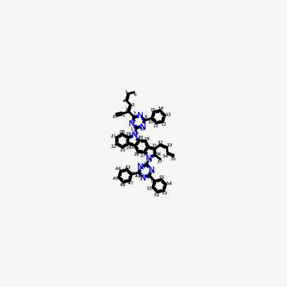 C#C/C(=C\C=C/C)c1nc(-c2ccccc2)nc(-n2c3ccccc3c3cc4c(cc32)c(/C=C\C=C)c(C)n4-c2nc(-c3ccccc3)nc(-c3ccccc3)n2)n1